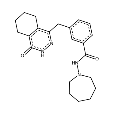 O=C(NN1CCCCCC1)c1cccc(Cc2n[nH]c(=O)c3c2CCCC3)c1